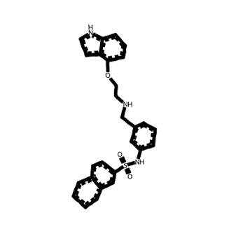 O=S(=O)(Nc1cccc(CNCCOc2cccc3[nH]ccc23)c1)c1ccc2ccccc2c1